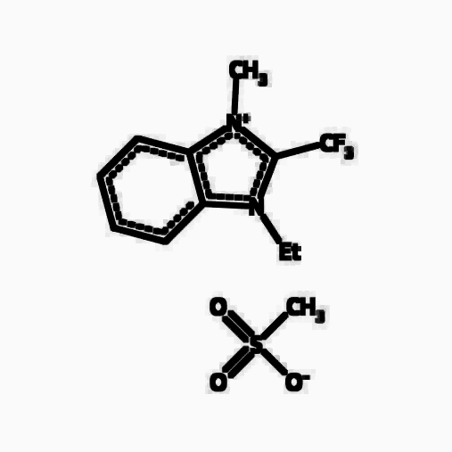 CCn1c(C(F)(F)F)[n+](C)c2ccccc21.CS(=O)(=O)[O-]